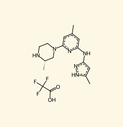 Cc1cc(Nc2cc(C)[nH]n2)nc(N2CCN[C@@H](C)C2)c1.O=C(O)C(F)(F)F